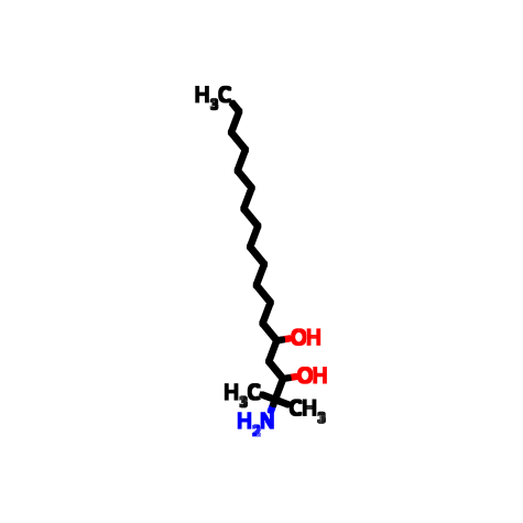 CCCCCCCCCCCCCC(O)CC(O)C(C)(C)N